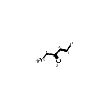 CCCCC(=O)C=CI